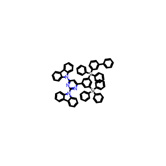 c1ccc(-c2cccc([Si](c3ccccc3)(c3ccccc3)c3cc(-c4cc(-n5c6ccccc6c6ccccc65)nc(-n5c6ccccc6c6ccccc65)n4)cc([Si](c4ccccc4)(c4ccccc4)c4ccccc4)c3)c2)cc1